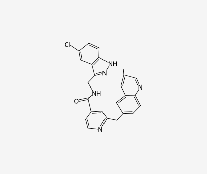 Cc1cnc2ccc(Cc3cc(C(=O)NCc4n[nH]c5ccc(Cl)cc45)ccn3)cc2c1